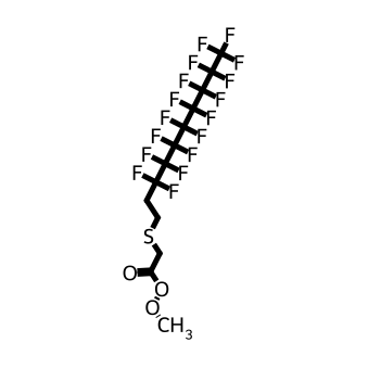 COOC(=O)CSCCC(F)(F)C(F)(F)C(F)(F)C(F)(F)C(F)(F)C(F)(F)C(F)(F)C(F)(F)F